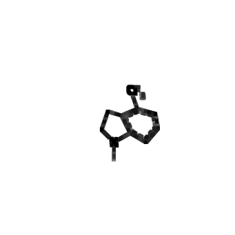 CN1CCc2c1cccc2C(F)(F)F